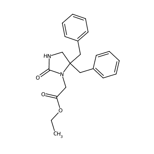 CCOC(=O)CN1C(=O)NCC1(Cc1ccccc1)Cc1ccccc1